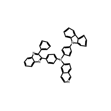 c1ccc(-c2nc3ccccc3nc2-c2ccc(N(c3ccc(-n4c5ccccc5c5ccccc54)cc3)c3ccc4cnccc4c3)cc2)cc1